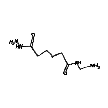 NCNC(=O)CCCCC(=O)NN